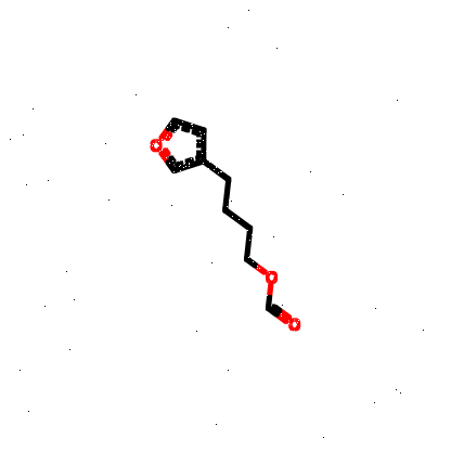 O=COCCCCc1ccoc1